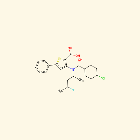 CC(F)CC(C)N(c1cc(-c2ccccc2)sc1C(O)O)[C@H](O)C1CCC(Cl)CC1